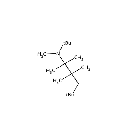 CN(C(C)(C)C)C(C)(C)C(C)(C)CC(C)(C)C